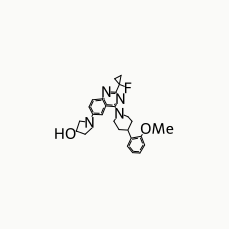 COc1ccccc1C1CCN(c2nc(C3(F)CC3)nc3ccc(N4CC[C@H](O)C4)cc23)CC1